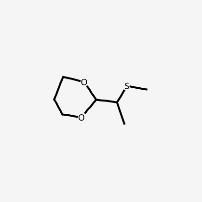 CSC(C)C1OCCCO1